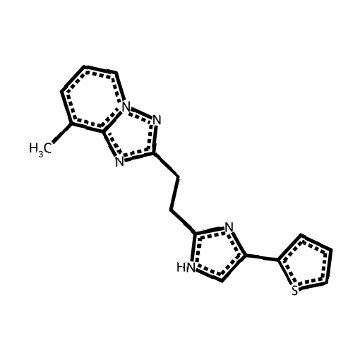 Cc1cccn2nc(CCc3nc(-c4cccs4)c[nH]3)nc12